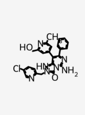 Cc1cc(-c2c(-c3ccccc3)nc(N)[n+]3c(=O)n(Cc4ccc(Cl)cn4)[nH]c23)cc(CO)n1